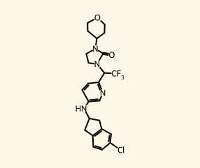 O=C1N(C2CCOCC2)CCN1C(c1ccc(NC2Cc3ccc(Cl)cc3C2)cn1)C(F)(F)F